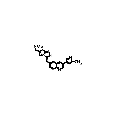 CNCc1nn2c(Cc3ccc4ncc(-c5cnn(C)c5)cc4c3)nnc2s1